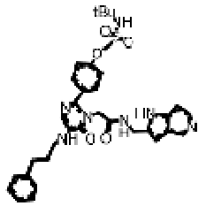 CC(C)(C)NS(=O)(=O)COc1ccc(-c2ncc(NCCCc3ccccc3)c(=O)n2CC(=O)NCc2cc3cnccc3[nH]2)cc1